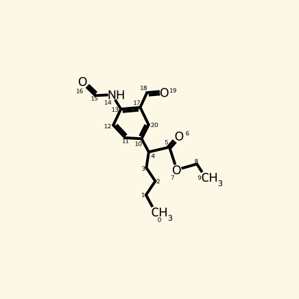 CCCCC(C(=O)OCC)c1ccc(NC=O)c(C=O)c1